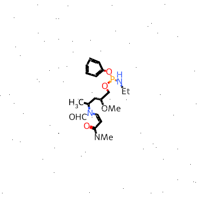 CCNP(OCC(CC(C)N(C=O)/C=C\C(=O)NC)OC)Oc1ccccc1